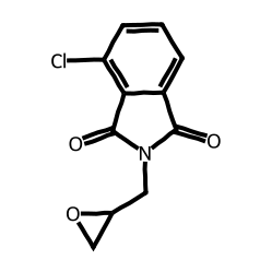 O=C1c2cccc(Cl)c2C(=O)N1CC1CO1